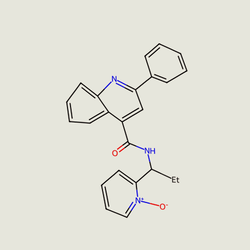 CCC(NC(=O)c1cc(-c2ccccc2)nc2ccccc12)c1cccc[n+]1[O-]